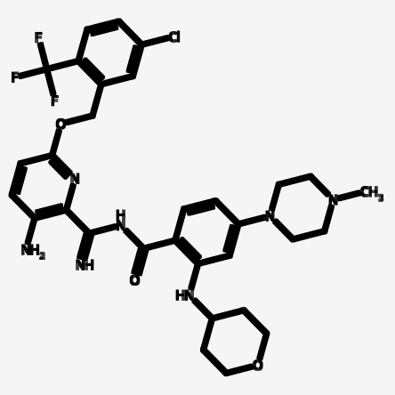 CN1CCN(c2ccc(C(=O)NC(=N)c3nc(OCc4cc(Cl)ccc4C(F)(F)F)ccc3N)c(NC3CCOCC3)c2)CC1